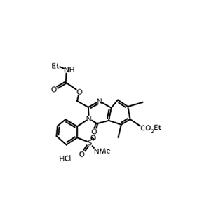 CCNC(=O)OCc1nc2cc(C)c(C(=O)OCC)c(C)c2c(=O)n1-c1ccccc1S(=O)(=O)NC.Cl